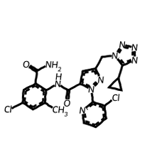 Cc1cc(Cl)cc(C(N)=O)c1NC(=O)c1cc(Cn2nnnc2C2CC2)nn1-c1ncccc1Cl